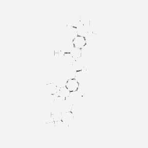 CCOc1cc2c(cc1C(=O)NC)C(=N)N(CC(=O)c1cc(N(CC)S(C)(=O)=O)c(OCC(=O)OC(=O)C(F)(F)F)c(C(C)(C)C)c1)C2